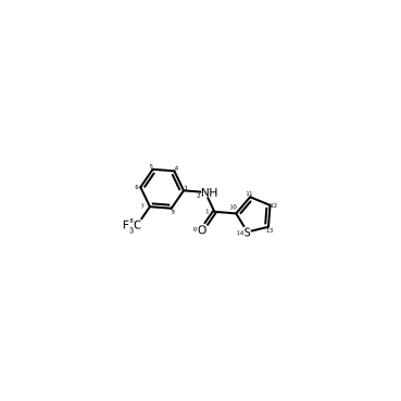 O=C(Nc1cccc(C(F)(F)F)c1)c1cccs1